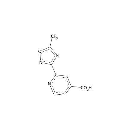 O=C(O)c1ccnc(-c2noc(C(F)(F)F)n2)c1